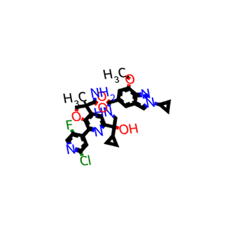 COc1cc(C(=O)NCC(O)(c2cc3c(c(-c4cc(Cl)ncc4F)n2)OC[C@]3(C)C(N)=O)C2CC2)cc2cn(C3CC3)nc12